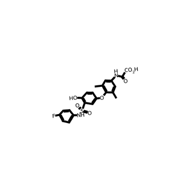 Cc1cc(NC(=O)C(=O)O)cc(C)c1Oc1ccc(O)c(S(=O)(=O)Nc2ccc(F)cc2)c1